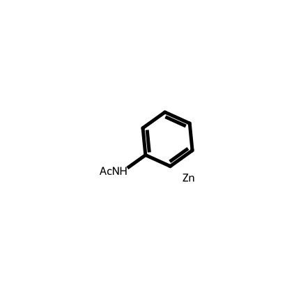 CC(=O)Nc1ccccc1.[Zn]